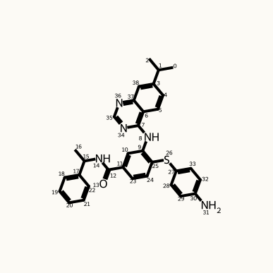 CC(C)c1ccc2c(Nc3cc(C(=O)NC(C)c4ccccc4)ccc3Sc3ccc(N)cc3)ncnc2c1